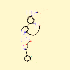 COC(=O)Nc1ccc2c(c1)NC(=O)[C@H](C)CCC[C@H](NC(=O)C1CC(c3cccc(Cl)c3F)=NO1)c1cc-2ccn1